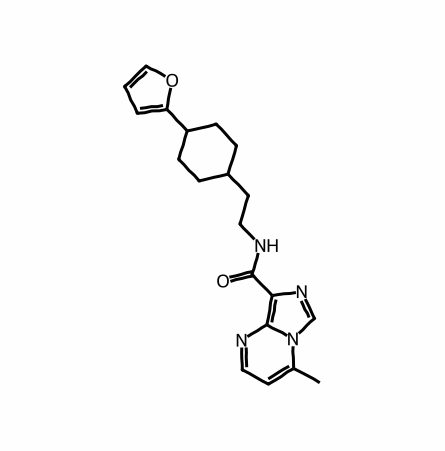 Cc1ccnc2c(C(=O)NCCC3CCC(c4ccco4)CC3)ncn12